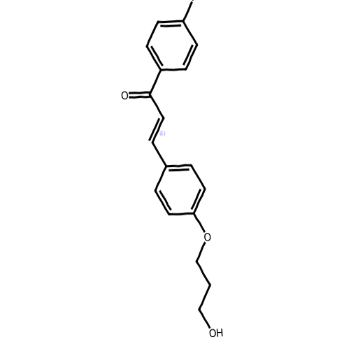 O=C(/C=C/c1ccc(OCCCO)cc1)c1ccc(F)cc1